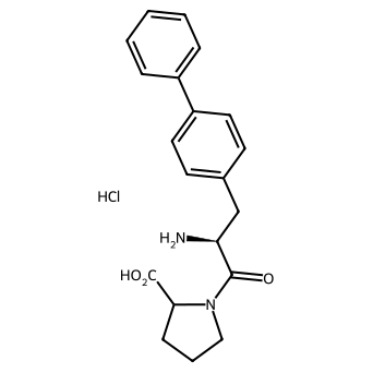 Cl.N[C@@H](Cc1ccc(-c2ccccc2)cc1)C(=O)N1CCCC1C(=O)O